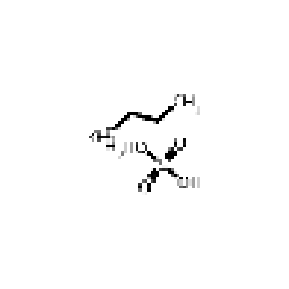 CCCC.O=S(=O)(O)O.[KH]